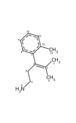 CC(C)=C(CCN)c1ccccc1C